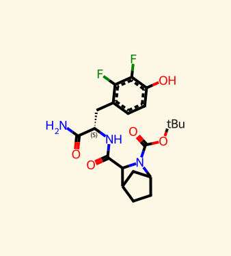 CC(C)(C)OC(=O)N1C2CCC(C2)C1C(=O)N[C@@H](Cc1ccc(O)c(F)c1F)C(N)=O